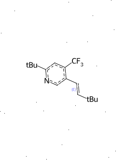 CC(C)(C)/C=C/c1cnc(C(C)(C)C)cc1C(F)(F)F